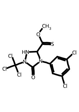 COC(=S)C1NN(C(Cl)(Cl)Cl)C(=O)N1c1cc(Cl)cc(Cl)c1